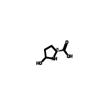 O=C(O)[C@H]1CCC(O)N1